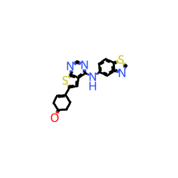 O=C1CC=C(c2cc3c(Nc4ccc5scnc5c4)ncnc3s2)CC1